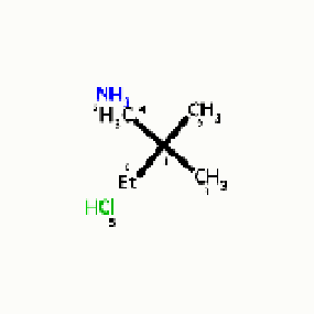 CCC(C)(C)C.Cl.N